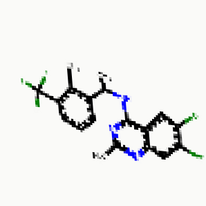 Cc1nc(NC(C)c2cccc(C(F)(F)F)c2C)c2cc(Br)c(F)cc2n1